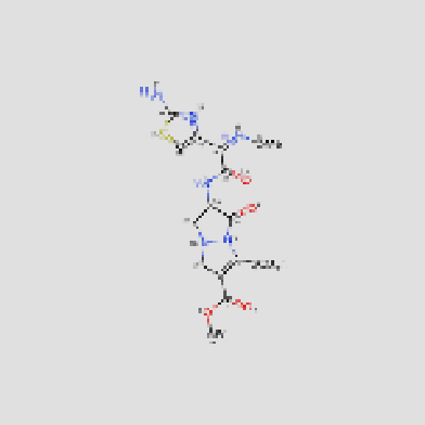 CCCOC(=O)C1=C(C(=O)O)N2C(=O)C(NC(=O)/C(=N\OC)c3csc(N)n3)CN2C1